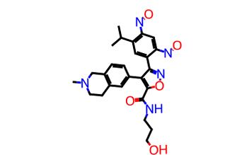 CC(C)c1cc(-c2noc(C(=O)NCCCO)c2-c2ccc3c(c2)CCN(C)C3)c(N=O)cc1N=O